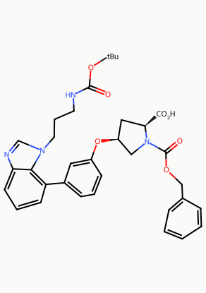 CC(C)(C)OC(=O)NCCCn1cnc2cccc(-c3cccc(O[C@H]4C[C@@H](C(=O)O)N(C(=O)OCc5ccccc5)C4)c3)c21